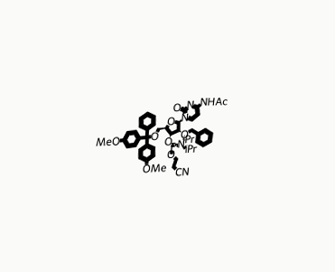 COc1ccc(C(OC[C@H]2O[C@@H](n3ccc(NC(C)=O)nc3=O)[C@H](OCc3ccccc3)[C@@H]2OP(OCCC#N)N(C(C)C)C(C)C)(c2ccccc2)c2ccc(OC)cc2)cc1